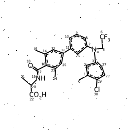 Cc1cc(N(CC(F)(F)F)c2cccc(-c3cc(C)c(C(=O)NC(C)C(=O)O)c(C)c3)c2)ccc1Cl